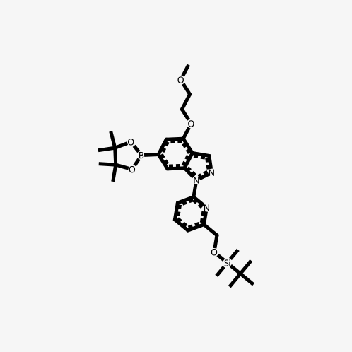 COCCOc1cc(B2OC(C)(C)C(C)(C)O2)cc2c1cnn2-c1cccc(CO[Si](C)(C)C(C)(C)C)n1